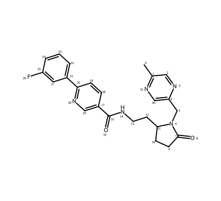 Cc1cnc(CN2C(=O)CCC2CCNC(=O)c2ccc(-c3cccc(F)c3)nc2)cn1